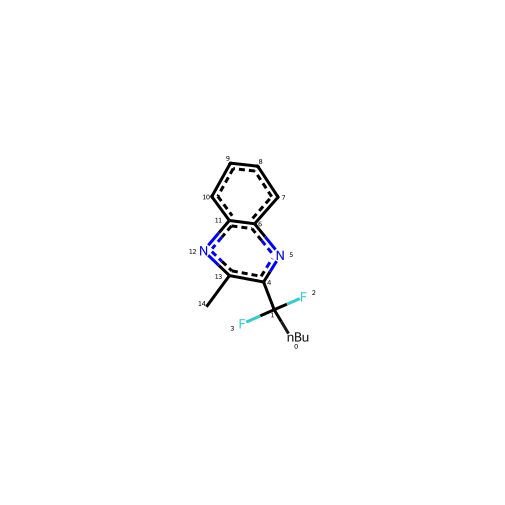 CCCCC(F)(F)c1nc2ccccc2nc1C